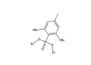 [CH2]c1cc(CCCC)c(P(=O)(OCC)OCC)c(CCCC)c1